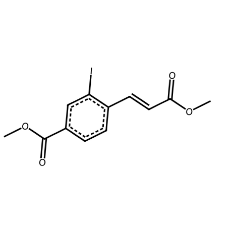 COC(=O)C=Cc1ccc(C(=O)OC)cc1I